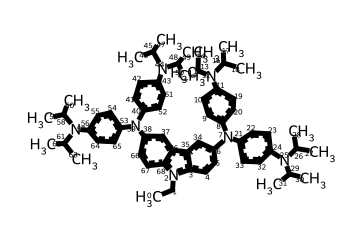 CCn1c2ccc(N(c3ccc(N(C(C)C)C(C)C)cc3)c3ccc(N(C(C)C)C(C)C)cc3)cc2c2cc(N(c3ccc(N(C(C)C)C(C)C)cc3)c3ccc(N(C(C)C)C(C)C)cc3)ccc21